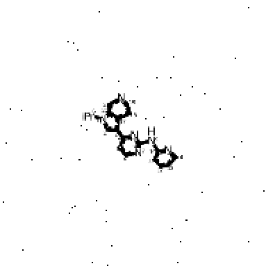 CC(C)n1cc(-c2ccnc(Nc3ccccn3)n2)c2ccncc21